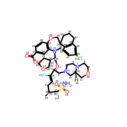 COC(CN1CCN2CCOC[C@@H]2C1)(/C(F)=C/C[C@H](C)[C@@H](C)S(N)(=O)=O)[C@@H]1OCC[C@H]1CN1C[C@@]2(CCCc3cc(Cl)ccc32)COc2ccc(C(=O)O)cc21